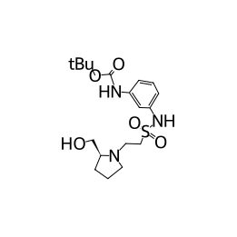 CC(C)(C)OC(=O)Nc1cccc(NS(=O)(=O)CCN2CCC[C@H]2CO)c1